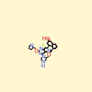 C#Cc1cccc2cc(O)cc(-c3nc4c5c(nc(OCC6CCCN6C)nc5c3F)N3CCNCC3CO4)c12